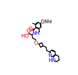 COc1cc(C)c(C(=O)NC(CCOC2CC(CCc3ccc4c(n3)NCCC4)C2)C(O)O)c(C)c1